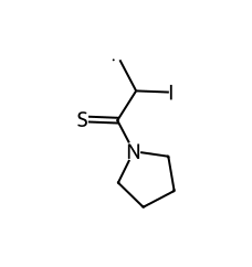 [CH2]C(I)C(=S)N1CCCC1